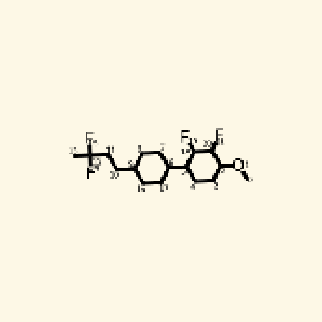 COC1CCC(C2CCC(CCC(C)(F)F)CC2)C(F)C1F